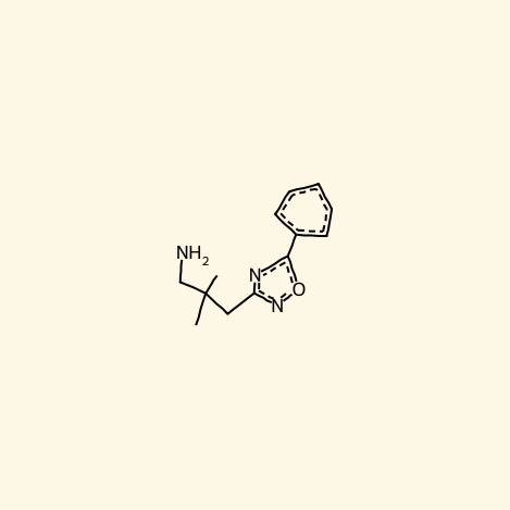 CC(C)(CN)Cc1noc(-c2ccccc2)n1